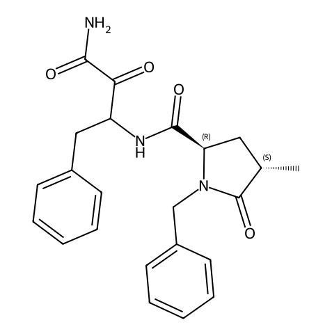 C[C@H]1C[C@H](C(=O)NC(Cc2ccccc2)C(=O)C(N)=O)N(Cc2ccccc2)C1=O